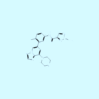 Cc1ccc(NC(=O)c2cnn(C(C)(C)C)n2)cc1-c1cc(N2CCOCC2)c2nccn2c1